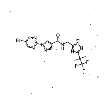 CC(C)(c1n[nH]c(CNC(=O)c2cnn(-c3ncc(Br)cn3)c2)n1)C(F)(F)F